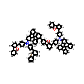 c1ccc(C2(c3ccccc3)c3ccccc3-c3ccc(N(c4ccc(-c5cccc6c5oc5ccccc56)cc4)c4ccc(-c5cccc6c5oc5cc(-c7cccc(C8(c9ccccc9)c9ccccc9-c9ccc(N(c%10ccc(-c%11cccc%12c%11oc%11ccccc%11%12)cc%10)c%10ccc(-c%11cccc%12c%11sc%11ccccc%11%12)cc%10)cc98)c7)ccc56)cc4)cc32)cc1